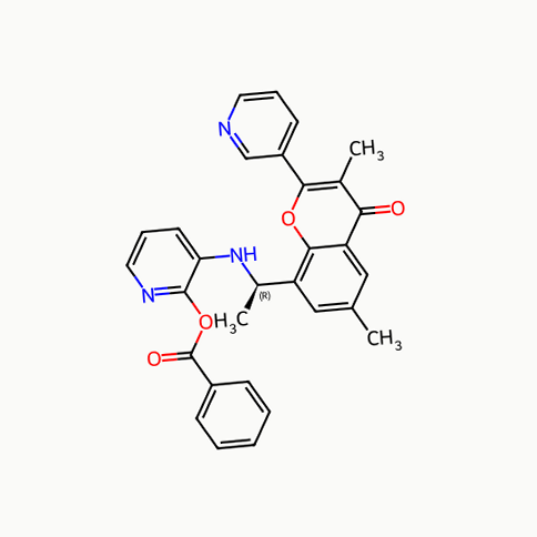 Cc1cc([C@@H](C)Nc2cccnc2OC(=O)c2ccccc2)c2oc(-c3cccnc3)c(C)c(=O)c2c1